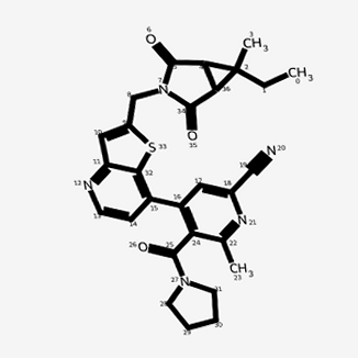 CCC1(C)C2C(=O)N(Cc3cc4nccc(-c5cc(C#N)nc(C)c5C(=O)N5CCCC5)c4s3)C(=O)C21